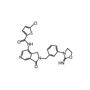 N=C1OCCN1c1cccc(CN2Cc3c(NC(=O)c4ccc(Cl)s4)cncc3C2=O)c1